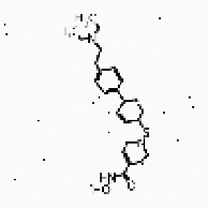 CCN(CC)CCc1ccc(C2C=CC(SN3CC=C(C(=O)NO)CC3)CC2)cc1